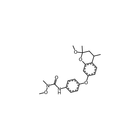 CON(C)C(=O)Nc1ccc(Oc2ccc3c(c2)OC(C)(OC)CC3C)cc1